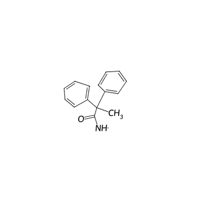 CC(C([NH])=O)(c1ccccc1)c1ccccc1